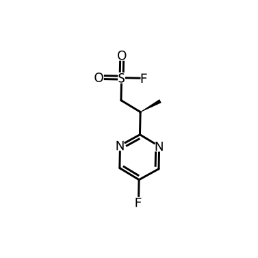 C[C@H](CS(=O)(=O)F)c1ncc(F)cn1